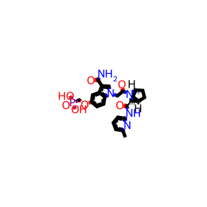 Cc1cccc(NC(=O)[C@@H]2[C@H]3CC[C@H](C3)N2C(=O)Cn2cc(C(N)=O)c3cc(OCP(=O)(O)O)ccc32)n1